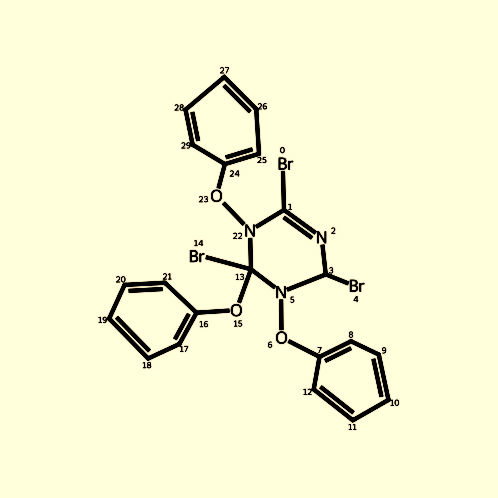 BrC1=NC(Br)N(Oc2ccccc2)C(Br)(Oc2ccccc2)N1Oc1ccccc1